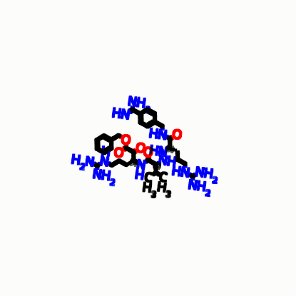 CC(C)[C@H](NN[C@@H](CCCNC(N)N)C(=O)NCc1ccc(C(=N)N)cc1)C(=O)N[C@@H](CCCNC(N)N)C(=O)C(=O)OCc1ccccc1